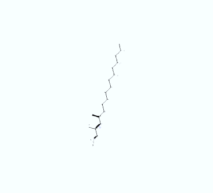 C=C(/C=C(C)/C=N/O)CCCCCCCCCCCC